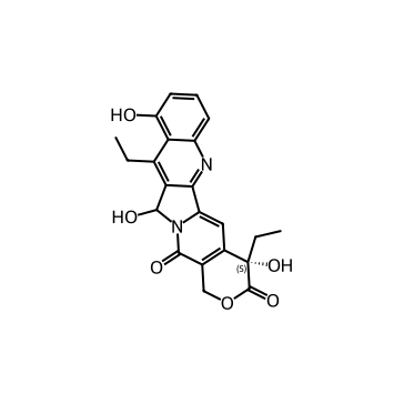 CCc1c2c(nc3cccc(O)c13)-c1cc3c(c(=O)n1C2O)COC(=O)[C@]3(O)CC